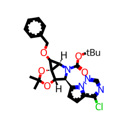 CC(C)(C)OC(=O)N1[C@@H](c2ccc3c(Cl)ncnn23)[C@@H]2OC(C)(C)O[C@@]23C(OCc2ccccc2)[C@@H]13